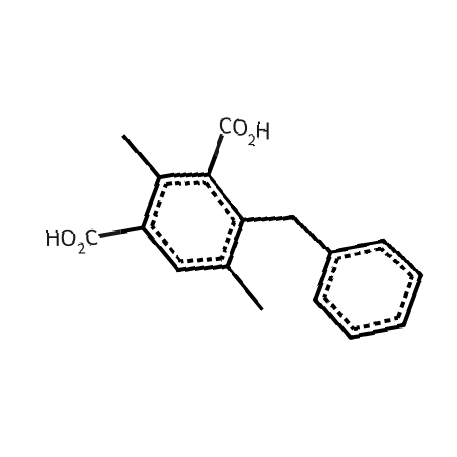 Cc1cc(C(=O)O)c(C)c(C(=O)O)c1Cc1ccccc1